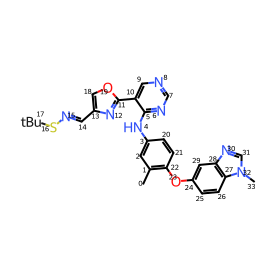 Cc1cc(Nc2ncncc2-c2nc(C=NSC(C)(C)C)co2)ccc1Oc1ccc2c(c1)ncn2C